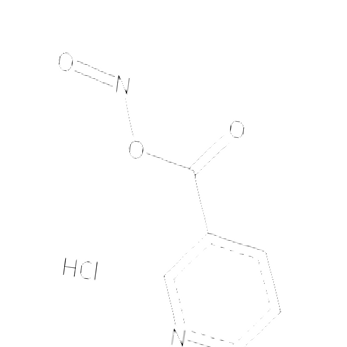 Cl.O=NOC(=O)c1cccnc1